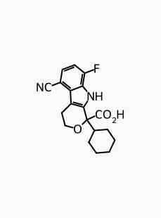 N#Cc1ccc(F)c2[nH]c3c(c12)CCOC3(C(=O)O)C1CCCCC1